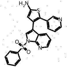 Nc1cc(-c2cn(S(=O)(=O)c3ccccc3)c3ncccc23)c(-c2cccnc2)s1